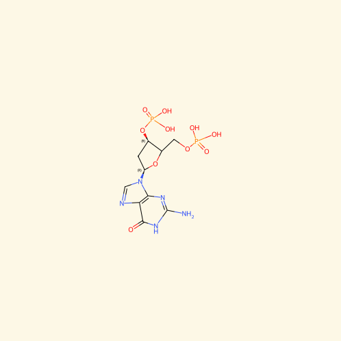 Nc1nc2c(ncn2[C@H]2C[C@@H](OP(=O)(O)O)C(COP(=O)(O)O)O2)c(=O)[nH]1